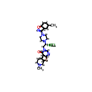 Cc1ccc2onc(N3CCN(CCn4cnc5sc6c(c5c4=O)CCN(C)C6)CC3)c2c1.Cl.Cl